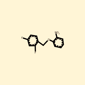 O=[N+]([O-])c1ccccc1OCc1ccc(F)cc1F